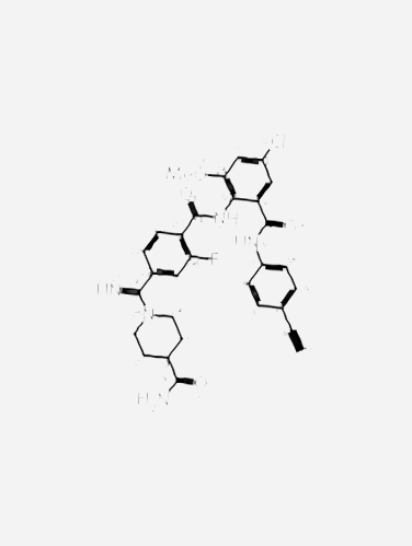 C#Cc1ccc(NC(=O)c2cc(Cl)cc(OC)c2NC(=O)c2ccc(C(=N)N3CCC(C(N)=O)CC3)cc2F)cc1